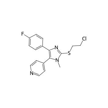 Cn1c(SCCCl)nc(-c2ccc(F)cc2)c1-c1ccncc1